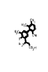 Cc1ccc(C#N)c(-c2cc(C)c(F)c(C(N)CC(=O)O)c2)c1C